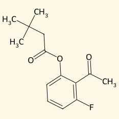 CC(=O)c1c(F)cccc1OC(=O)CC(C)(C)C